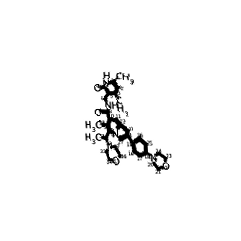 Cc1cc(C)c(CNC(=O)c2cc3cc(-c4ccc(N5CCOCC5)cc4)cn3c(C(C)N3CCOCC3)c2C)c(=O)[nH]1